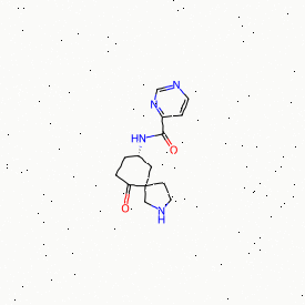 O=C(N[C@H]1CCC(=O)C2(CCNC2)C1)c1ccncn1